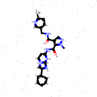 Cn1ncc(C(=O)NCc2ccc(C#N)nc2)c1C(=O)Nc1ccn2cc(-c3ccccc3)nc2n1